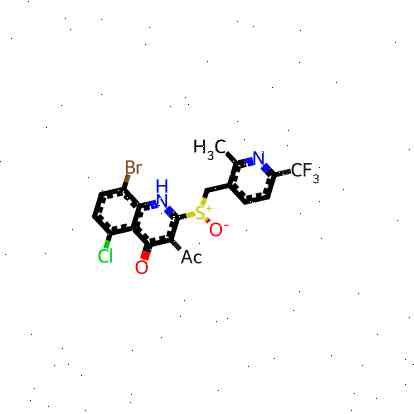 CC(=O)c1c([S+]([O-])Cc2ccc(C(F)(F)F)nc2C)[nH]c2c(Br)ccc(Cl)c2c1=O